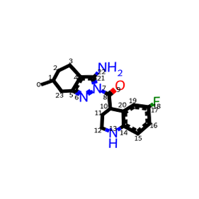 CC1CCc2c(nn(C(=O)C3CCNc4ccc(F)cc43)c2N)C1